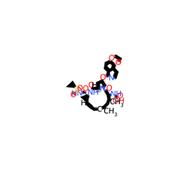 C[C@@H]1CCC=C[C@@H]2C[C@@]2(C(=O)NS(=O)(=O)C2CC2)NC(=O)[C@@H]2C[C@@H](Oc3nccc4c5c(ccc34)OCCO5)CN2C(=O)[C@@H](NC(=O)O)[C@H](C)C1